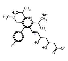 COCc1c(C(C)C)nc(C(C)C)c(/C=C/C(O)CC(O)CC(=O)[O-])c1-c1ccc(F)cc1.[Na+]